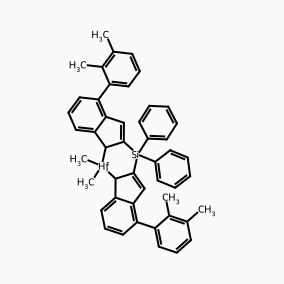 Cc1cccc(-c2cccc3c2C=C2[CH]3[Hf]([CH3])([CH3])[CH]3C(=Cc4c(-c5cccc(C)c5C)cccc43)[Si]2(c2ccccc2)c2ccccc2)c1C